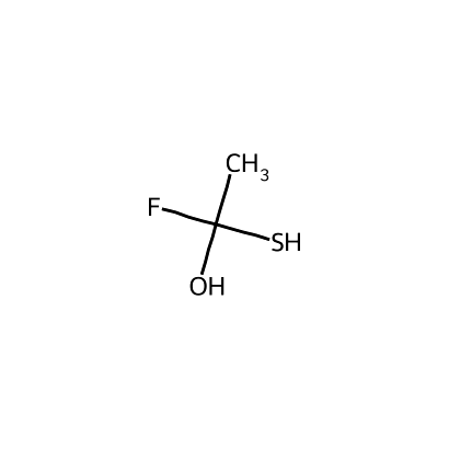 CC(O)(F)S